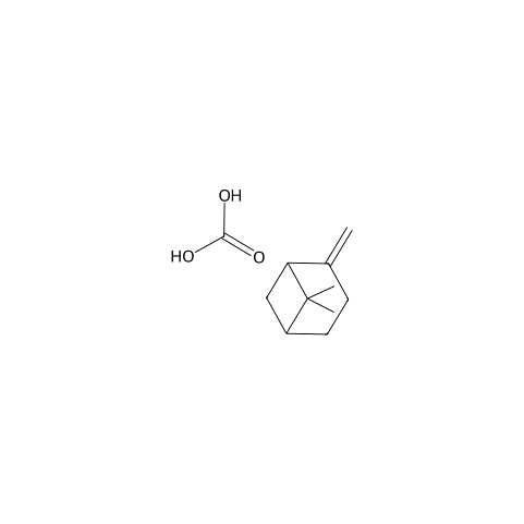 C=C1CCC2CC1C2(C)C.O=C(O)O